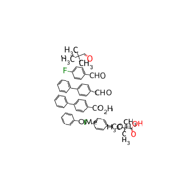 CC(C)(C)C(=O)O.CC(C)(C)C=O.COc1ccccc1.O=C(O)c1ccc(-c2ccccc2)cc1.O=C(O)c1ccc(F)cc1.O=Cc1ccc(-c2ccccc2)cc1.O=Cc1ccc(F)cc1